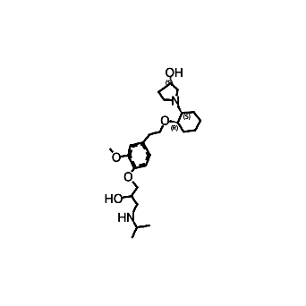 COc1cc(CCO[C@@H]2CCCC[C@@H]2N2CC[C@H](O)C2)ccc1OCC(O)CNC(C)C